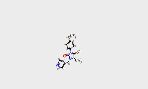 CC1C(=S)N(c2ccc(SC(F)(F)F)cc2)C(=O)N1Cc1ccncc1